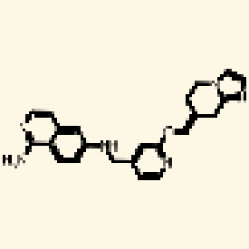 Nc1nccc2cc(NCc3ccnc(O/C=C4\CCn5ccnc5C4)c3)ccc12